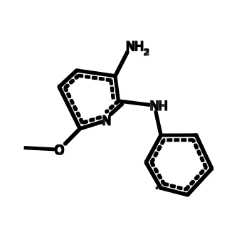 COc1ccc(N)c(Nc2c[c]ccc2)n1